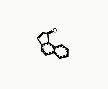 O=C1C=Cc2ccc3ccccc3c21